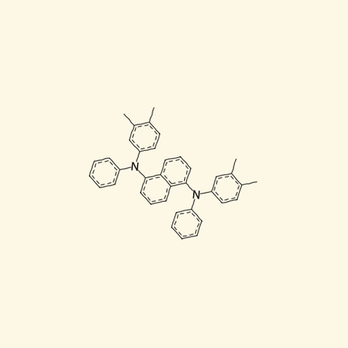 Cc1ccc(N(c2ccccc2)c2cccc3c(N(c4ccccc4)c4ccc(C)c(C)c4)cccc23)cc1C